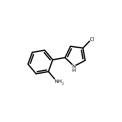 Nc1ccccc1-c1cc(Cl)c[nH]1